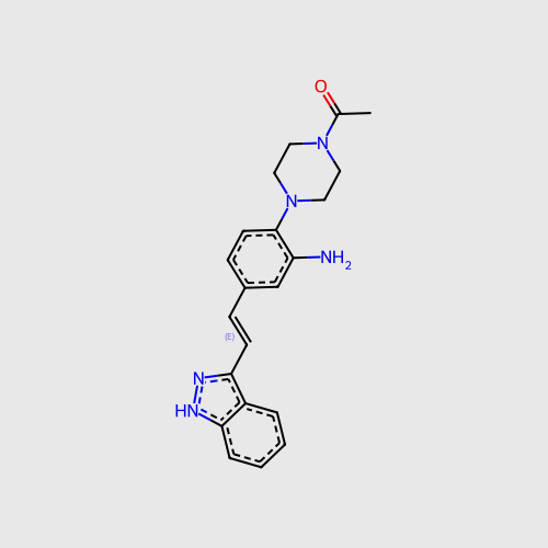 CC(=O)N1CCN(c2ccc(/C=C/c3n[nH]c4ccccc34)cc2N)CC1